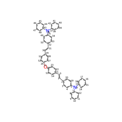 C(=Cc1ccc(N(c2ccccc2)c2ccccc2)cc1)c1ccc(Oc2ccc(C=Cc3ccc(N(c4ccccc4)c4ccccc4)cc3)cc2)cc1